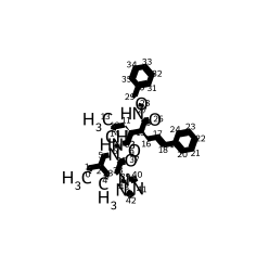 CCC(CC)CN(NC(=O)[C@H](CC(C)C)[C@H](CC=Cc1ccccc1)C(=O)NOCc1ccccc1)C(=O)Cn1cncn1